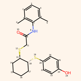 Cc1cccc(C)c1NC(=O)CS[C@@H]1CCCC[C@H]1Sc1ccc(O)cc1